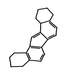 C1=C2CCCC[C]2C2=Cc3c(ccc4c3CCCC4)C2=C1